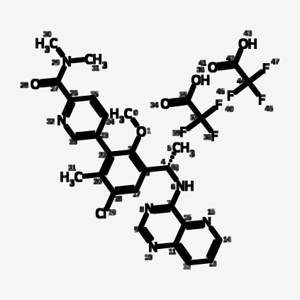 COc1c([C@H](C)Nc2ncnc3cccnc23)cc(Cl)c(C)c1-c1ccc(C(=O)N(C)C)nc1.O=C(O)C(F)(F)F.O=C(O)C(F)(F)F